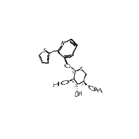 O[C@@H]1[C@@H](O)[C@@H](Oc2cccnc2-c2cccs2)SC[C@H]1O